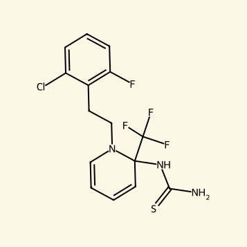 NC(=S)NC1(C(F)(F)F)C=CC=CN1CCc1c(F)cccc1Cl